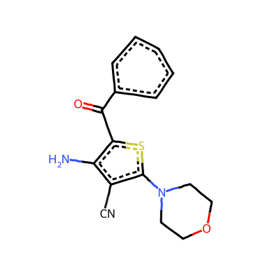 N#Cc1c(N2CCOCC2)sc(C(=O)c2ccccc2)c1N